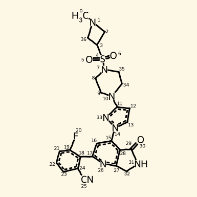 CN1CC(S(=O)(=O)N2CCN(c3ccn(-c4cc(-c5c(F)cccc5C#N)nc5c4C(=O)NC5)n3)CC2)C1